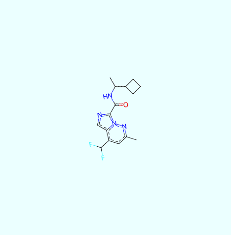 Cc1cc(C(F)F)c2cnc(C(=O)NC(C)C3CCC3)n2n1